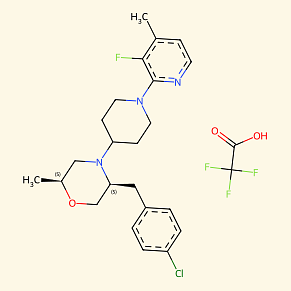 Cc1ccnc(N2CCC(N3C[C@H](C)OC[C@@H]3Cc3ccc(Cl)cc3)CC2)c1F.O=C(O)C(F)(F)F